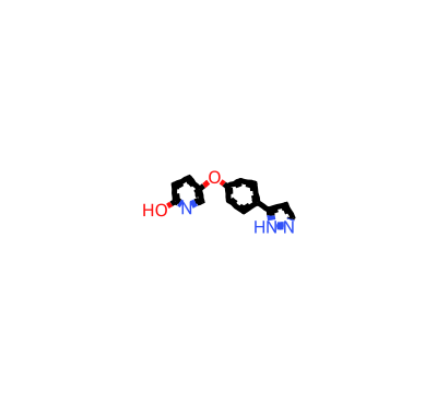 Oc1ccc(Oc2ccc(-c3ccn[nH]3)cc2)cn1